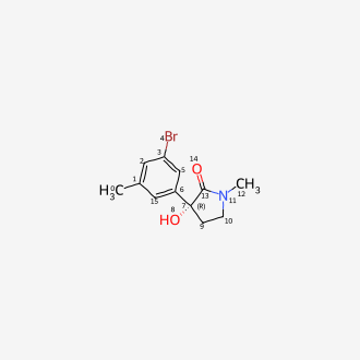 Cc1cc(Br)cc([C@]2(O)CCN(C)C2=O)c1